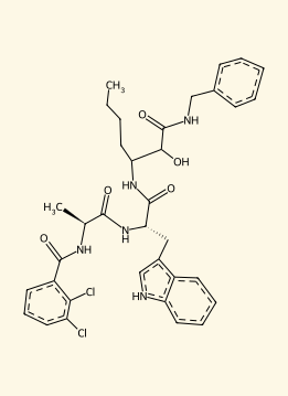 CCCCC(NC(=O)[C@H](Cc1c[nH]c2ccccc12)NC(=O)[C@H](C)NC(=O)c1cccc(Cl)c1Cl)C(O)C(=O)NCc1ccccc1